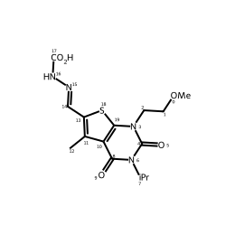 COCCn1c(=O)n(C(C)C)c(=O)c2c(C)c(C=NNC(=O)O)sc21